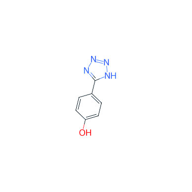 Oc1ccc(-c2nnn[nH]2)cc1